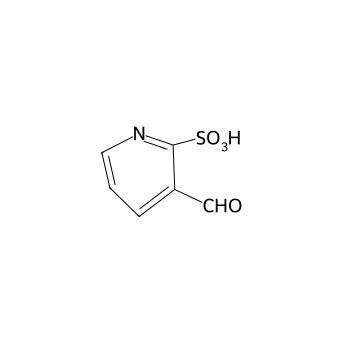 O=Cc1cccnc1S(=O)(=O)O